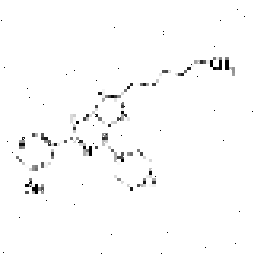 CCCCCCc1nc2nc(-c3cccc(O)c3)nc(N3CCOCC3)c2s1